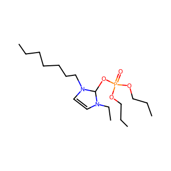 CCCCCCCN1C=CN(CC)C1OP(=O)(OCCC)OCCC